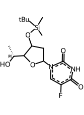 C[C@@H](O)C1OC(n2cc(F)c(=O)[nH]c2=O)CC1O[Si](C)(C)C(C)(C)C